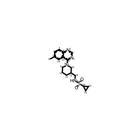 Cc1ccc2ncnc(N3CCCC(CNS(=O)(=O)C4CC4)C3)c2c1